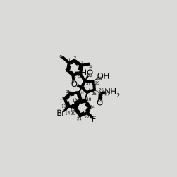 Cc1cc(C)c2c(c1)O[C@@]1(c3ccc(Br)cc3)[C@H](c3cccc(F)c3)[C@@H](C(N)=O)[C@@H](O)[C@@]21O